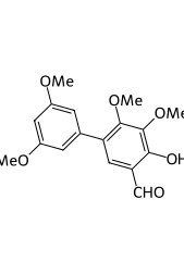 COc1cc(OC)cc(-c2cc(C=O)c(O)c(OC)c2OC)c1